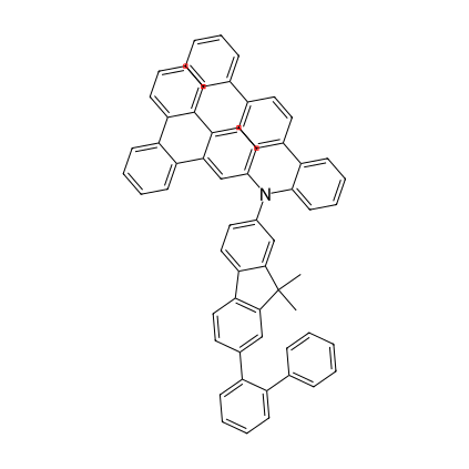 CC1(C)c2cc(-c3ccccc3-c3ccccc3)ccc2-c2ccc(N(c3ccc4c5ccccc5c5ccccc5c4c3)c3ccccc3-c3ccc(-c4ccccc4)cc3)cc21